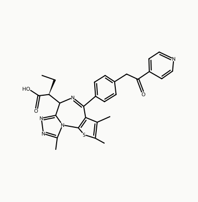 CC[C@H](C(=O)O)C1N=C(c2ccc(CC(=O)c3ccncc3)cc2)c2c(sc(C)c2C)-n2c(C)nnc21